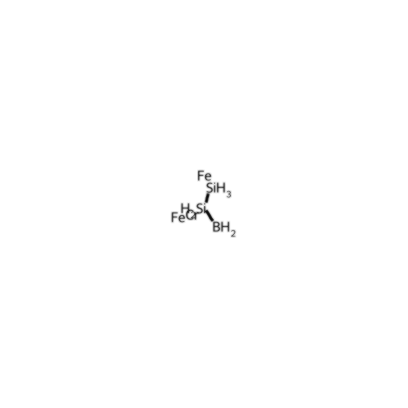 B[SiH2][SiH3].[Cr].[Fe].[Fe]